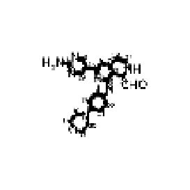 Nc1ncc(-c2cc3c(c(Nc4ccc(N5CCOCC5)cc4)n2)C(C=O)NC=C3)cn1